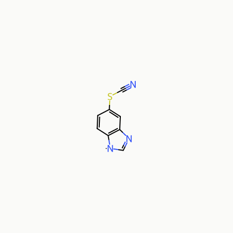 N#CSc1ccc2c(c1)N=C[N]2